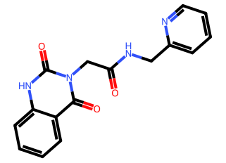 O=C(Cn1c(=O)[nH]c2ccccc2c1=O)NCc1ccccn1